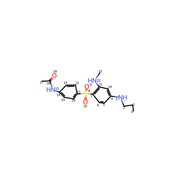 CCCNc1ccc(S(=O)(=O)c2ccc(NC(C)=O)cc2)c(NC)c1